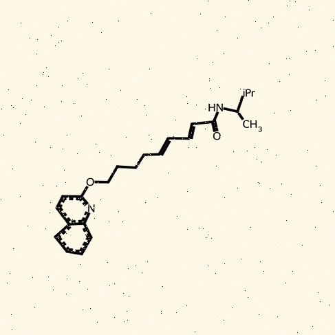 CC(C)C(C)NC(=O)C=CC=CCCCCOc1ccc2ccccc2n1